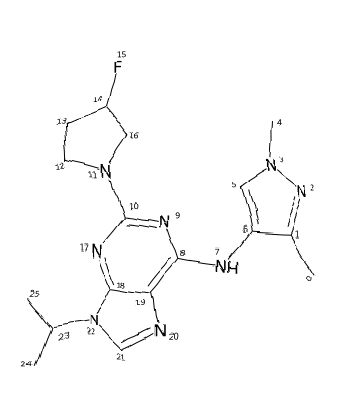 Cc1nn(C)cc1Nc1nc(N2CCC(F)C2)nc2c1ncn2C(C)C